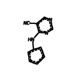 N#Cc1cncnc1Nc1ccccc1